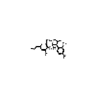 CC\C=C(C)/C=C(F)\C(=C\F)NC1=C(c2ccc(F)cc2Br)C(C)CN1C